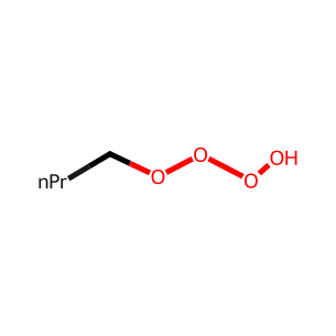 CCCCOOOO